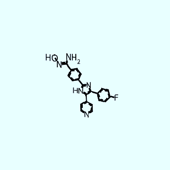 NC(=NO)c1ccc(-c2nc(-c3ccc(F)cc3)c(-c3ccncc3)[nH]2)cc1